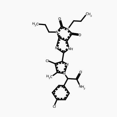 CCCn1c(=O)c2[nH]c(-c3nn(C(C(N)=O)c4ccc(Cl)cc4)c(C)c3Cl)nc2n(CCC)c1=O